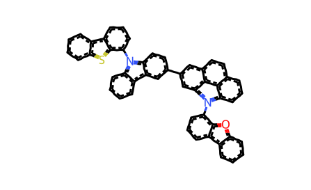 c1ccc2c(c1)oc1c(-n3c4cccc5ccc6cc(-c7ccc8c(c7)c7ccccc7n8-c7cccc8c7sc7ccccc78)cc3c6c54)cccc12